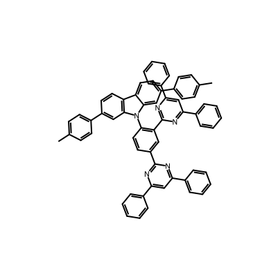 Cc1ccc(-c2ccc3c4ccc(-c5ccc(C)cc5)cc4n(-c4ccc(-c5nc(-c6ccccc6)cc(-c6ccccc6)n5)cc4-c4nc(-c5ccccc5)cc(-c5ccccc5)n4)c3c2)cc1